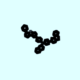 c1ccc(-c2cccc3c2oc2ccc(-c4ccc(N(c5ccc(-c6ccc7ccc8ccccc8c7c6)cc5)c5ccc6ccccc6c5)cc4)cc23)cc1